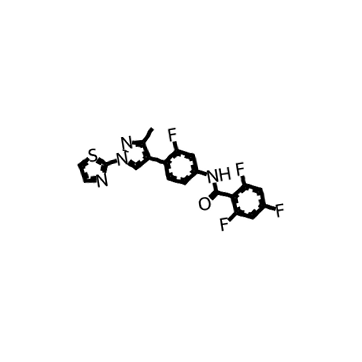 Cc1nn(-c2nccs2)cc1-c1ccc(NC(=O)c2c(F)cc(F)cc2F)cc1F